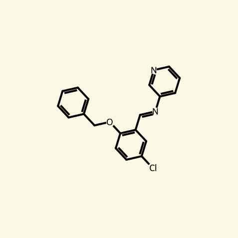 Clc1ccc(OCc2ccccc2)c(C=Nc2cccnc2)c1